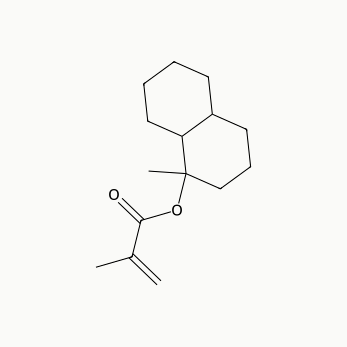 C=C(C)C(=O)OC1(C)CCCC2CCCCC21